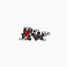 CCCC[C@@H](C(O)N1C[C@H](O)C[C@@H]1C(=O)N[C@H](C=O)CC(=O)O)N(C)C(=O)[C@H](Cc1ccccc1)N(C)C(=O)[C@H](Cc1cc(F)c(F)c(F)c1)NC(=O)CSC[C@H](NC(=O)[C@H](CC(C)C)NC(=O)[C@H](Cc1ccc(O)cc1)NC(=O)[C@H](Cc1c[nH]c2ccccc12)NC(=O)[C@H]1C[C@@H](O)CN1C1OC1[C@H](CC(=O)O)NC(=O)[C@H](Cc1ccccc1)N(C)C(=O)[C@@H](N)C(C)C)C(=O)NCC(N)=O